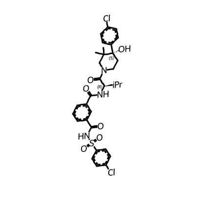 CC(C)[C@@H](NC(=O)c1cccc(C(=O)NS(=O)(=O)c2ccc(Cl)cc2)c1)C(=O)N1CC[C@](O)(c2ccc(Cl)cc2)C(C)(C)C1